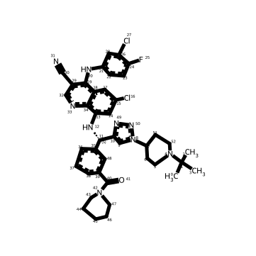 CC(C)(C)N1CCC(n2cc([C@@H](Nc3cc(Cl)cc4c(Nc5ccc(F)c(Cl)c5)c(C#N)cnc34)c3cccc(C(=O)N4CCCCC4)c3)nn2)CC1